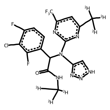 [2H]C([2H])([2H])NC(=O)C(c1ccc(F)c(Cl)c1F)N(c1c[nH]nn1)c1nc(C([2H])([2H])[2H])cc(C(F)(F)F)n1